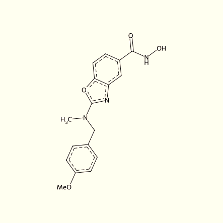 COc1ccc(CN(C)c2nc3cc(C(=O)NO)ccc3o2)cc1